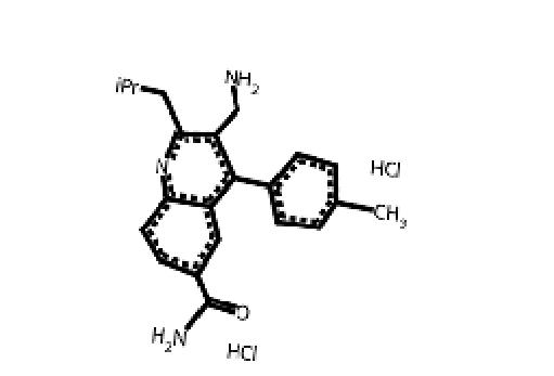 Cc1ccc(-c2c(CN)c(CC(C)C)nc3ccc(C(N)=O)cc23)cc1.Cl.Cl